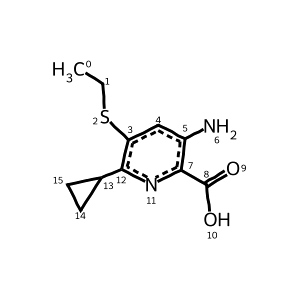 CCSc1cc(N)c(C(=O)O)nc1C1CC1